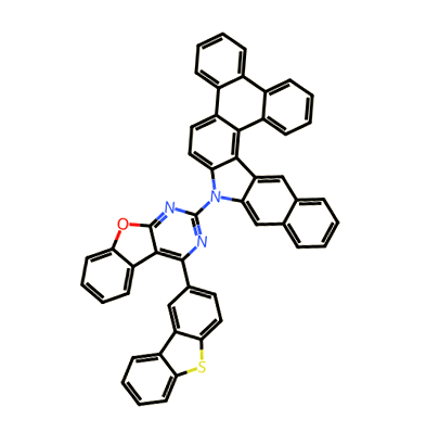 c1ccc2cc3c(cc2c1)c1c2c4ccccc4c4ccccc4c2ccc1n3-c1nc(-c2ccc3sc4ccccc4c3c2)c2c(n1)oc1ccccc12